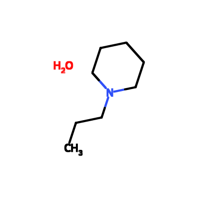 CCCN1CCCCC1.O